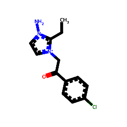 CCc1n(N)cc[n+]1CC(=O)c1ccc(Cl)cc1